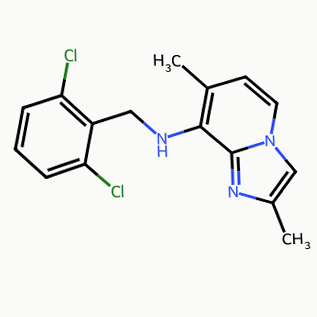 Cc1cn2ccc(C)c(NCc3c(Cl)cccc3Cl)c2n1